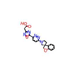 O=C(O)Cc1noc(-c2ccc(N3CCC4(COc5ccccc54)C3)nn2)n1